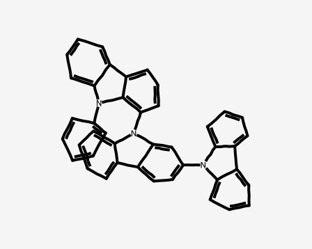 c1ccc(-n2c3ccccc3c3cccc(-n4c5ccccc5c5ccc(-n6c7ccccc7c7ccccc76)cc54)c32)cc1